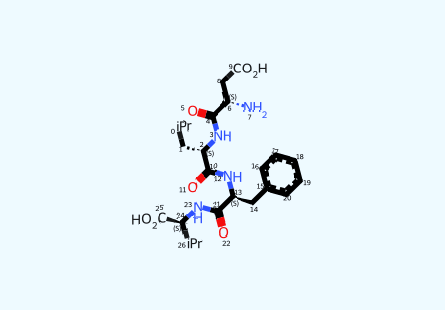 CC(C)C[C@H](NC(=O)[C@@H](N)CC(=O)O)C(=O)N[C@@H](Cc1ccccc1)C(=O)N[C@H](C(=O)O)C(C)C